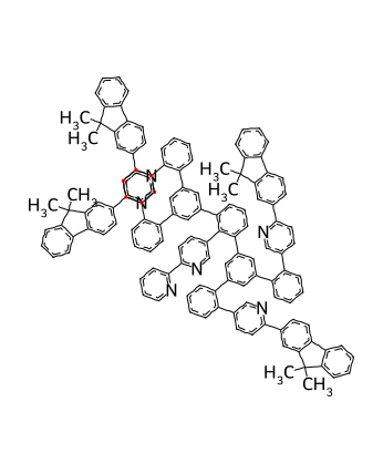 CC1(C)c2ccccc2-c2ccc(-c3ccc(-c4ccccc4-c4cc(-c5ccccc5-c5ccc(-c6ccc7c(c6)C(C)(C)c6ccccc6-7)nc5)cc(-c5cccc(-c6cc(-c7ccccc7-c7ccc(-c8ccc9c(c8)C(C)(C)c8ccccc8-9)nc7)cc(-c7ccccc7-c7ccc(-c8ccc9c(c8)C(C)(C)c8ccccc8-9)nc7)c6)c5-c5ccc(-c6ccccn6)nc5)c4)cn3)cc21